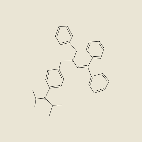 CC(C)N(c1ccc(CN(C=C(c2ccccc2)c2ccccc2)Cc2ccccc2)cc1)C(C)C